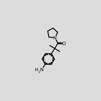 CC(C)(C(=O)N1CCCC1)c1ccc(N)cc1